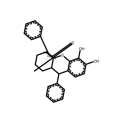 Oc1ccc2c(c1O)OC13NC(=S)NC(c4ccccc4)C1CCCC3C2c1ccccc1